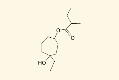 CCC(C)C(=O)OC1CCCC(O)(CC)CC1